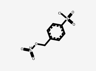 O=[SH](=O)OCc1ccc(S(=O)(=O)Cl)cc1